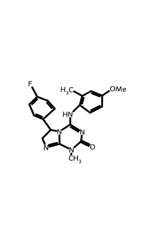 COc1ccc(NC2=NC(=O)N(C)C3=NCC(c4ccc(F)cc4)N23)c(C)c1